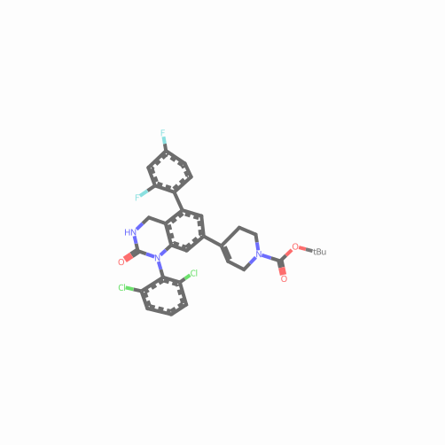 CC(C)(C)OC(=O)N1CC=C(c2cc(-c3ccc(F)cc3F)c3c(c2)N(c2c(Cl)cccc2Cl)C(=O)NC3)CC1